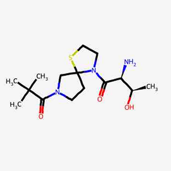 C[C@@H](O)[C@H](N)C(=O)N1CCSC12CCN(C(=O)C(C)(C)C)C2